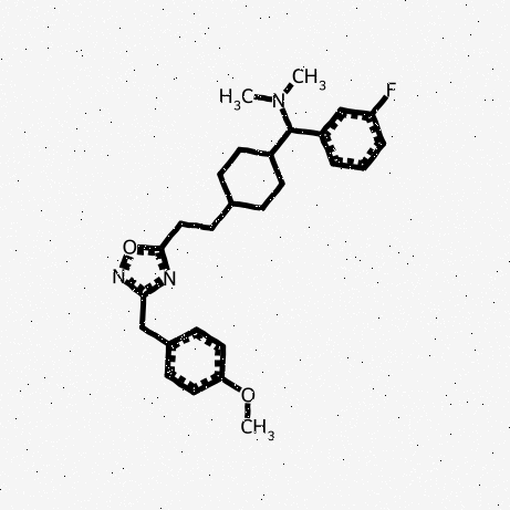 COc1ccc(Cc2noc(CCC3CCC(C(c4cccc(F)c4)N(C)C)CC3)n2)cc1